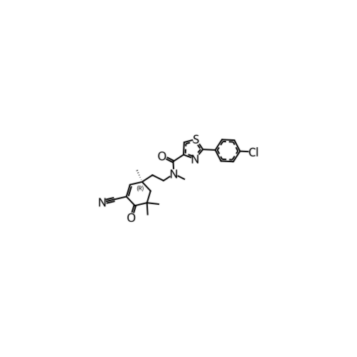 CN(CC[C@]1(C)C=C(C#N)C(=O)C(C)(C)C1)C(=O)c1csc(-c2ccc(Cl)cc2)n1